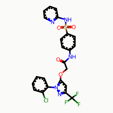 O=C(COc1cc(C(F)(F)F)nn1-c1ccccc1Cl)Nc1ccc(S(=O)(=O)Nc2ccccn2)cc1